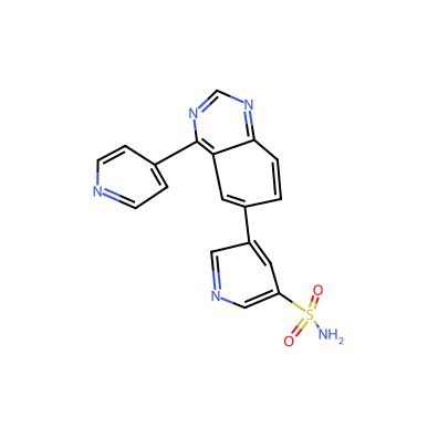 NS(=O)(=O)c1cncc(-c2ccc3ncnc(-c4ccncc4)c3c2)c1